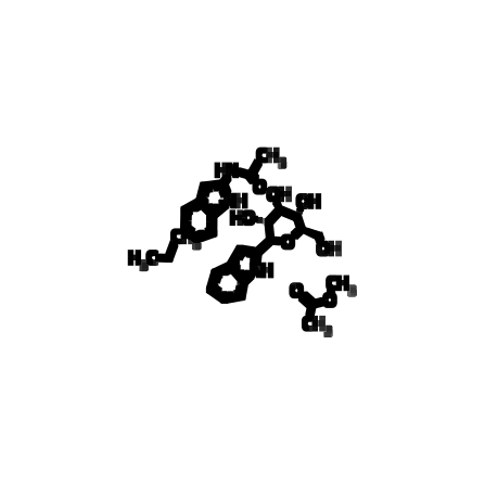 CC(=O)Nc1cc2ccccc2[nH]1.CCC.COC(C)=O.OC[C@H]1OC(c2cc3ccccc3[nH]2)[C@H](O)[C@@H](O)[C@@H]1O